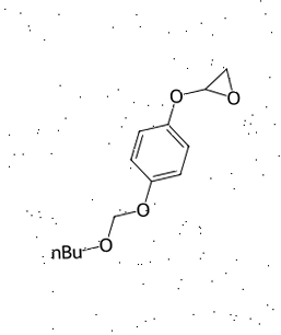 CCCCOCOc1ccc(OC2CO2)cc1